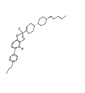 CCCCC[C@H]1CC[C@H](C2CC=C(C(F)(F)Oc3ccc(-c4ccc(CCC)cc4)c(F)c3F)CC2)CC1